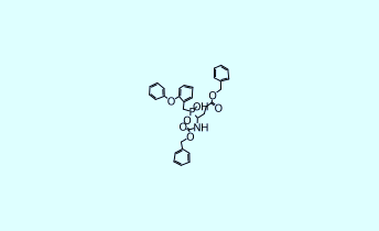 O=C(CCC(NC(=O)OCc1ccccc1)P(=O)(O)Cc1ccccc1Oc1ccccc1)OCc1ccccc1